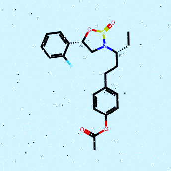 CC[C@H](CCc1ccc(OC(C)=O)cc1)N1C[C@H](c2ccccc2F)OS1=O